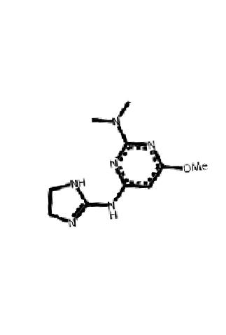 COc1cc(NC2=NCCN2)nc(N(C)C)n1